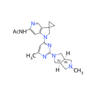 CC(=O)Nc1cc2c(cn1)C1(CC1)CN2c1cc(C)nc(N2C[C@H]3CN(C)C[C@H]3C2)n1